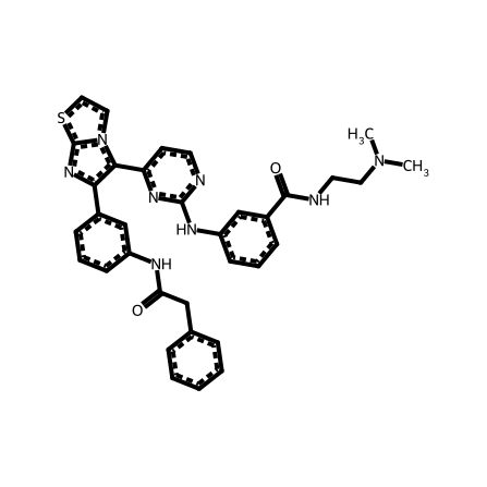 CN(C)CCNC(=O)c1cccc(Nc2nccc(-c3c(-c4cccc(NC(=O)Cc5ccccc5)c4)nc4sccn34)n2)c1